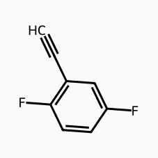 C#Cc1cc(F)ccc1F